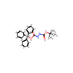 CC(C)(C)OC(=O)N=NC(=O)O[Si](c1ccccc1)(c1ccccc1)c1ccccc1